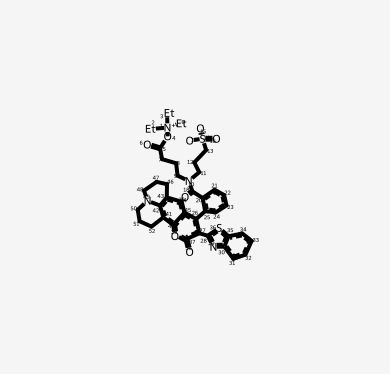 CC[N+](CC)(CC)OC(=O)CCCN(CCCS(=O)(=O)[O-])C(=O)c1ccccc1-c1c(-c2nc3ccccc3s2)c(=O)oc2c3c4c(cc12)CCCN4CCC3